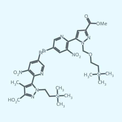 COC(=O)c1cc(-c2ncc(Br)cc2[N+](=O)[O-])n(COCC[Si](C)(C)C)n1.Cc1c(C(=O)O)nn(CC[Si](C)(C)C)c1-c1ncc(Br)cc1[N+](=O)[O-]